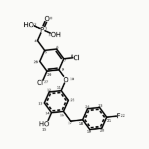 O=P(O)(O)CC1C=C(Cl)C(Oc2ccc(O)c(Cc3ccc(F)cc3)c2)=C(Cl)C1